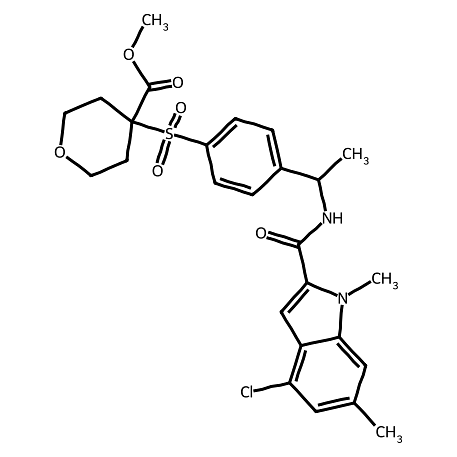 COC(=O)C1(S(=O)(=O)c2ccc(C(C)NC(=O)c3cc4c(Cl)cc(C)cc4n3C)cc2)CCOCC1